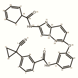 N#CC1(c2cccc(C(=O)Nc3cccc(Oc4ccc5nc(NC(=O)C6C=CC=CC6)cn5n4)c3)c2)CC1